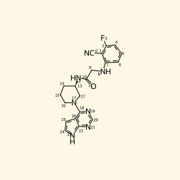 N#Cc1c(F)cccc1NCC(=O)N[C@@H]1CCCN(c2ncnc3[nH]ccc23)C1